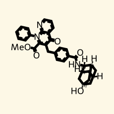 COC(=O)c1c(Cc2ccc(C(=O)N[C@H]3[C@@H]4C[C@@H]5C[C@H]3C[C@@](O)(C5)C4)cc2)c(=O)c2cccnc2n1-c1ccccc1